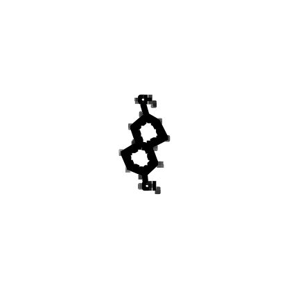 Cc1ccc2cc(C)c[c]c2c1